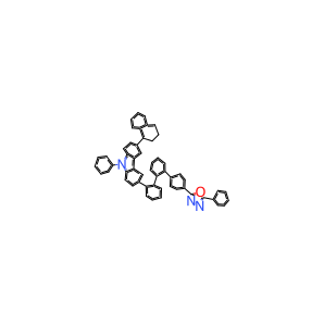 C1=c2ccccc2=C(c2ccc3c(c2)c2cc(-c4ccccc4-c4ccccc4-c4ccc(-c5nnc(-c6ccccc6)o5)cc4)ccc2n3-c2ccccc2)CC1